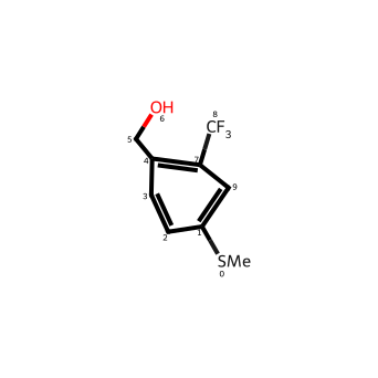 CSc1ccc(CO)c(C(F)(F)F)c1